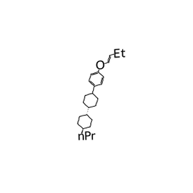 CC/C=C/Oc1ccc(C2CCC([C@H]3CC[C@H](CCC)CC3)CC2)cc1